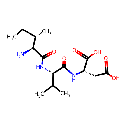 CC[C@H](C)[C@H](N)C(=O)N[C@H](C(=O)N[C@@H](CC(=O)O)C(=O)O)C(C)C